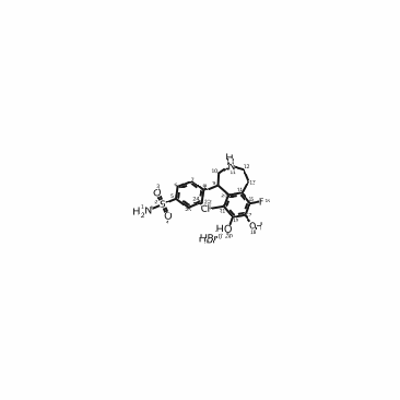 Br.NS(=O)(=O)c1ccc(C2CNCCc3c(F)c(O)c(O)c(Cl)c32)cc1